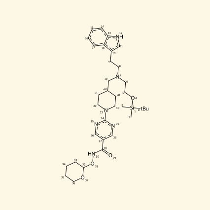 CC(C)(C)[Si](C)(C)OCCN(CCc1c[nH]c2ccccc12)CC1CCN(c2ncc(C(=O)NOC3CCCCO3)cn2)CC1